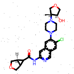 C[C@@]1(N2CCN(c3cc4cc(NC(=O)C5C6COC[C@H]65)ncc4cc3Cl)CC2)COC[C@@H]1O